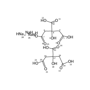 O=C(O)CC(O)(CC(=O)O)C(=O)O.O=C(O)CC(O)(CC(=O)O)C(=O)O.[NaH].[NaH].[NaH]